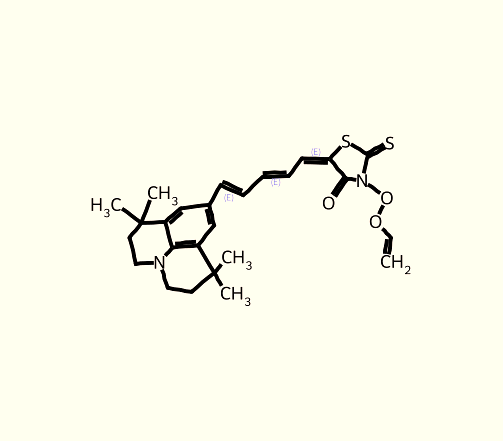 C=COON1C(=O)\C(=C/C=C/C=C/c2cc3c4c(c2)C(C)(C)CCN4CCC3(C)C)SC1=S